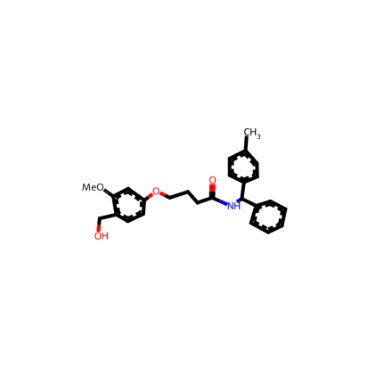 COc1cc(OCCCC(=O)NC(c2ccccc2)c2ccc(C)cc2)ccc1CO